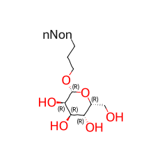 CCCCCCCCCCCCO[C@@H]1O[C@H](CO)[C@H](O)[C@@H](O)[C@H]1O